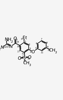 CCc1cc(Oc2cccc(C)c2)c(S(C)(=O)=O)cc1C(=O)N=C(N)N